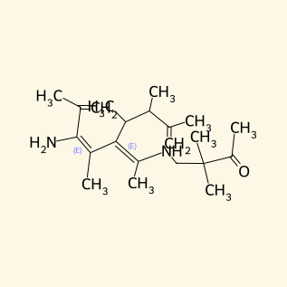 C=C(C)/C(N)=C(C)\C(=C(/C)NCC(C)(C)C(C)=O)C(C)C(C)C(=C)C